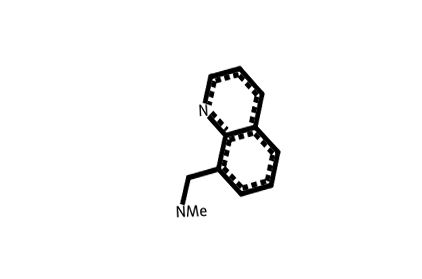 CNCc1cccc2cccnc12